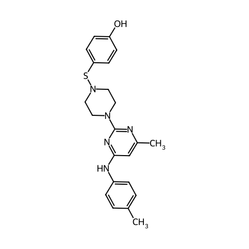 Cc1ccc(Nc2cc(C)nc(N3CCN(Sc4ccc(O)cc4)CC3)n2)cc1